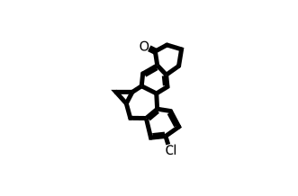 O=C1CCCC2=CC3c4ccc(Cl)cc4CC4CC4C3C=C12